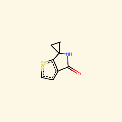 O=C1NC2(CC2)c2sccc21